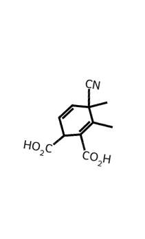 CC1=C(C(=O)O)C(C(=O)O)C=CC1(C)C#N